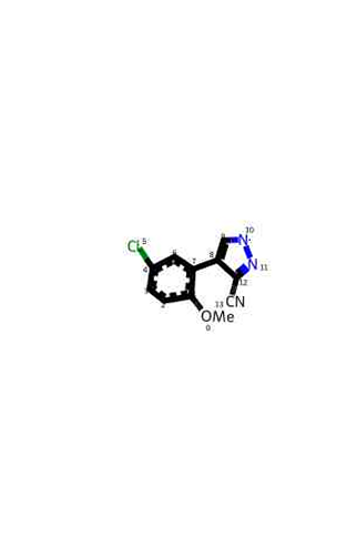 COc1ccc(Cl)cc1C1=C[N]N=C1C#N